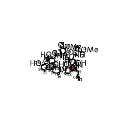 COC(=O)C1(NC(=O)C2=C(O)[C@@H]3Oc4c(OC5CC5CN5CC[C@]67c8c9ccc(O)c8O[C@H]6C(O)=C(C(=O)Nc6ccc(OC)c(Cl)c6)C[C@@]7(O)[C@H]5C9)ccc5c4[C@@]34CCN(CC3CC3)[C@H](C5)[C@]4(O)C2)CCC1